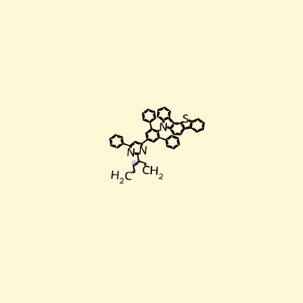 C=C/C=C(\C=C)c1nc(-c2ccccc2)cc(-c2cc(-c3ccccc3)c(-n3c4ccccc4c4c5sc6ccccc6c5ccc43)c(-c3ccccc3)c2)n1